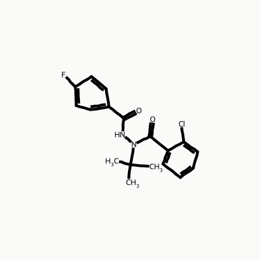 CC(C)(C)N(NC(=O)c1ccc(F)cc1)C(=O)c1ccccc1Cl